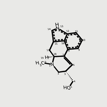 CN1C[C@@H](CO)C=C2c3cccc4[nH]cc(c34)C[C@@H]21